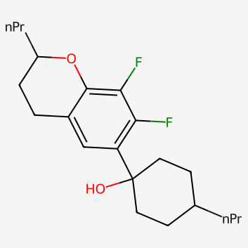 CCCC1CCC(O)(c2cc3c(c(F)c2F)OC(CCC)CC3)CC1